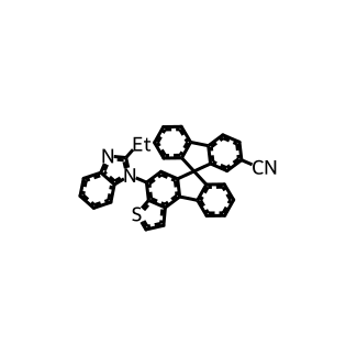 CCc1nc2ccccc2n1-c1cc2c(c3ccsc13)-c1ccccc1C21c2ccccc2-c2ccc(C#N)cc21